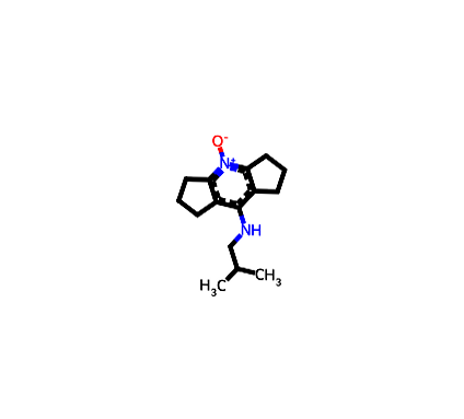 CC(C)CNc1c2c([n+]([O-])c3c1CCC3)CCC2